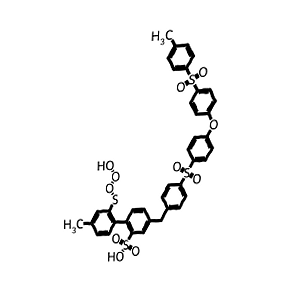 Cc1ccc(S(=O)(=O)c2ccc(Oc3ccc(S(=O)(=O)c4ccc(Cc5ccc(-c6ccc(C)cc6SOOO)c(S(=O)(=O)O)c5)cc4)cc3)cc2)cc1